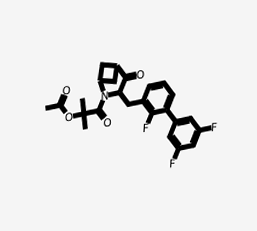 CC(=O)OC(C)(C)C(=O)N1C2CC(C2)C(=O)C1Cc1cccc(-c2cc(F)cc(F)c2)c1F